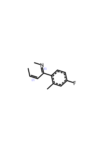 C/C=C\C(=N/C)c1ccc(F)cc1C